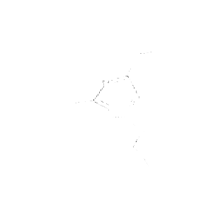 CCOc1cc(O)nc(OC)n1